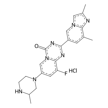 Cc1cn2cc(-c3nc(=O)n4cc(N5CCNC(C)C5)cc(F)c4n3)cc(C)c2n1.Cl